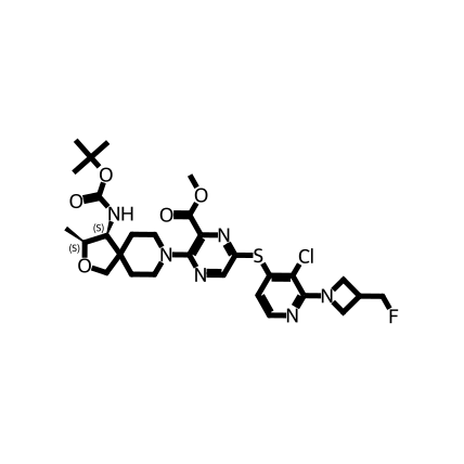 COC(=O)c1nc(Sc2ccnc(N3CC(CF)C3)c2Cl)cnc1N1CCC2(CC1)CO[C@@H](C)[C@H]2NC(=O)OC(C)(C)C